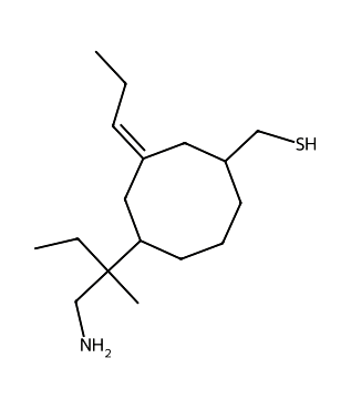 CC/C=C1\CC(CS)CCCC(C(C)(CC)CN)C1